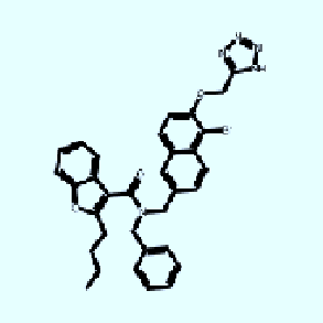 CCCCc1oc2ccccc2c1C(=O)N(Cc1ccccc1)Cc1ccc2c(Br)c(OCc3nnn[nH]3)ccc2c1